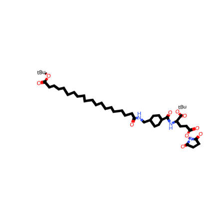 CC(C)(C)OC(=O)CCCCCCCCCCCCCCCCCCC(=O)NCC1CCC(C(=O)NC(CCC(=O)ON2C(=O)CCC2=O)C(=O)OC(C)(C)C)CC1